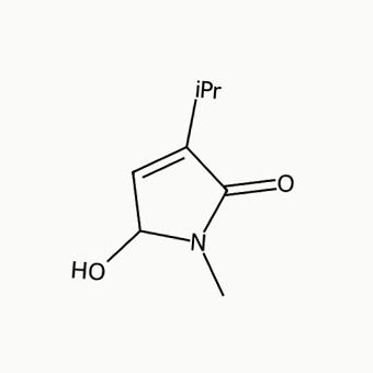 CC(C)C1=CC(O)N(C)C1=O